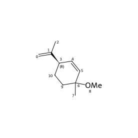 C=C(C)[C@H]1C=CC(C)(OC)CC1